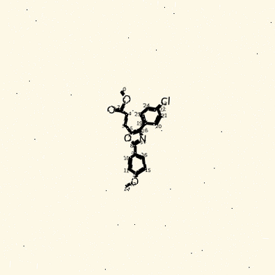 COC(=O)CCc1oc(-c2ccc(OC)cc2)nc1-c1ccc(Cl)cc1